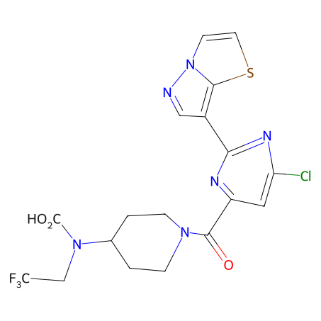 O=C(c1cc(Cl)nc(-c2cnn3ccsc23)n1)N1CCC(N(CC(F)(F)F)C(=O)O)CC1